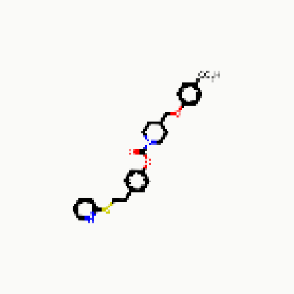 O=C(O)c1ccc(OCC2CCN(C(=O)Oc3ccc(CCSc4ccccn4)cc3)CC2)cc1